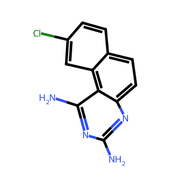 Nc1nc(N)c2c(ccc3ccc(Cl)cc32)n1